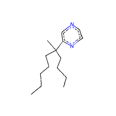 CCCCCC(C)(CCCC)c1cnccn1